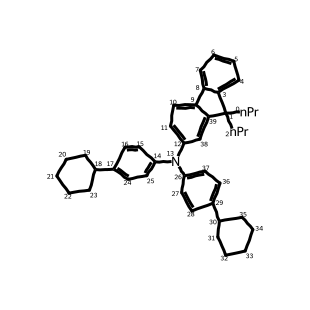 CCCC1(CCC)c2ccccc2-c2ccc(N(c3ccc(C4CCCCC4)cc3)c3ccc(C4CCCCC4)cc3)cc21